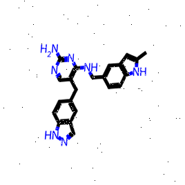 Cc1cc2cc(CNc3nc(N)ncc3Cc3ccc4[nH]ncc4c3)ccc2[nH]1